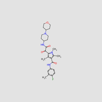 Cc1cc(NC(=O)c2c(C)c(C(=O)C(=O)NC3CCN(C4CCOCC4)CC3)n(C)c2C)ccc1F